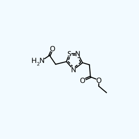 CCOC(=O)Cc1nsc(CC(N)=O)n1